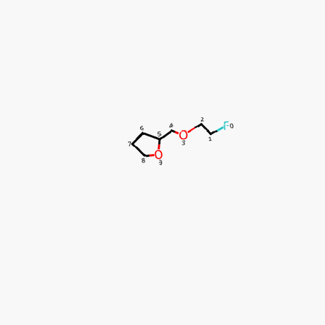 FCCOCC1CCCO1